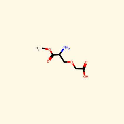 COC(=O)C(N)COCC(=O)O